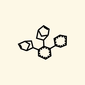 C1=CC2CC1CC2c1cccc(-c2ccccc2)c1C1CC2C=CC1C2